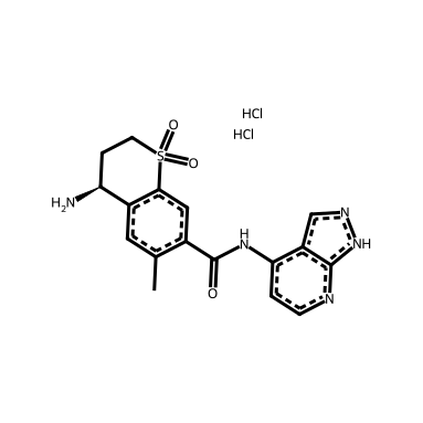 Cc1cc2c(cc1C(=O)Nc1ccnc3[nH]ncc13)S(=O)(=O)CC[C@@H]2N.Cl.Cl